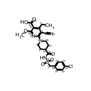 CCc1c(C#N)c(N2CCC(C(=O)NS(=O)(=O)Cc3ccc(Cl)cc3)CC2)nc(OC)c1C(=O)O